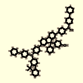 CCN(c1ccc(-c2ccccc2)cc1)c1ccc(-c2ccc3c(c2)C(c2ccccc2)(c2ccc(O)cc2)c2cc(-c4ccc(N(c5ccc(-c6ccccc6)cc5)c5ccc6c(c5)C(C)(C)c5ccccc5-6)cc4)ccc2-3)cc1